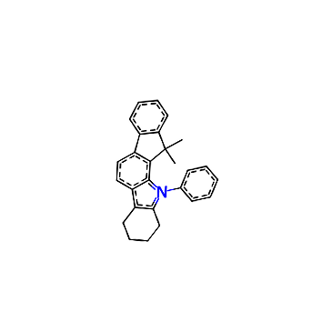 CC1(C)c2ccccc2-c2ccc3c4c(n(-c5ccccc5)c3c21)CCCC4